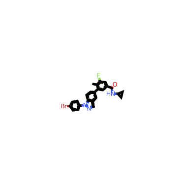 Cc1c(F)cc(C(=O)NC2CC2)cc1-c1ccc2c(cnn2-c2ccc(Br)cc2)c1